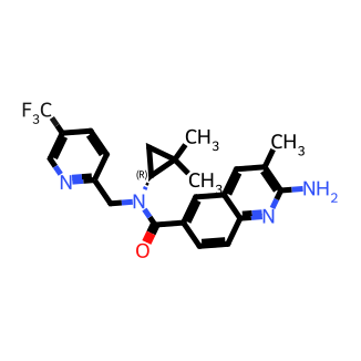 Cc1cc2cc(C(=O)N(Cc3ccc(C(F)(F)F)cn3)[C@@H]3CC3(C)C)ccc2nc1N